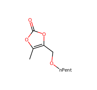 CCC[CH]COCc1oc(=O)oc1C